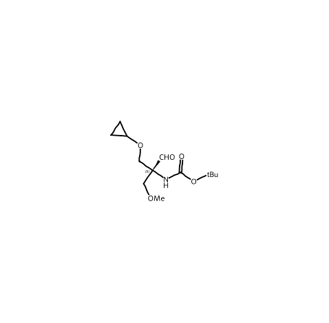 COC[C@](C=O)(COC1CC1)NC(=O)OC(C)(C)C